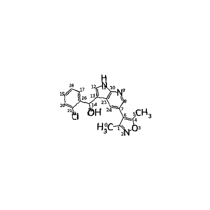 Cc1noc(C)c1-c1cnc2[nH]cc(C(O)c3ccccc3Cl)c2c1